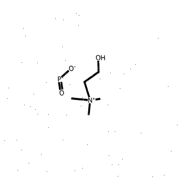 C[N+](C)(C)CCO.O=P[O-]